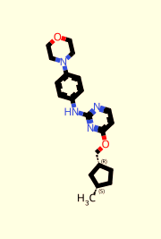 C[C@H]1CC[C@@H](COc2ccnc(Nc3ccc(N4CCOCC4)cc3)n2)C1